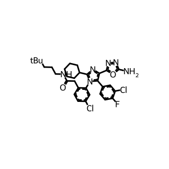 CC(C)(C)CCCNC(=O)Cc1ccc(Cl)cc1-n1c(C2CCCCC2)nc(-c2nnc(N)o2)c1-c1ccc(F)c(Cl)c1